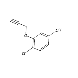 C#CCOc1cc(O)ccc1Cl